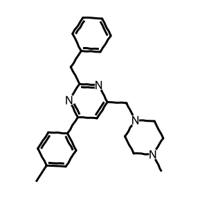 Cc1ccc(-c2cc(CN3CCN(C)CC3)nc(Cc3ccccc3)n2)cc1